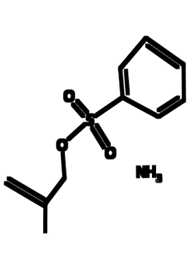 C=C(C)COS(=O)(=O)c1ccccc1.N